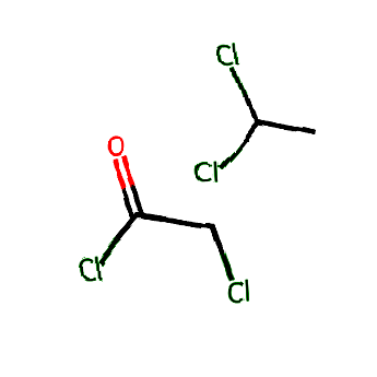 CC(Cl)Cl.O=C(Cl)CCl